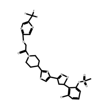 CS(=O)(=O)Oc1cccc(Cl)c1C1CC(c2csc(C3CCN(C(=O)COc4cnc(C(F)(F)F)cn4)CC3)n2)=NO1